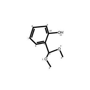 CO[C](OC)c1ccccc1O